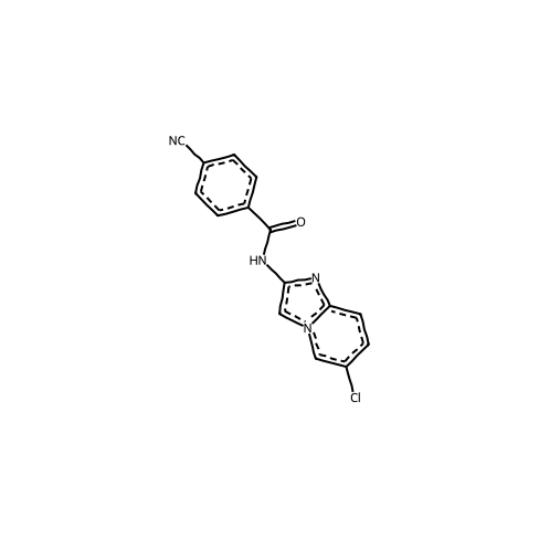 N#Cc1ccc(C(=O)Nc2cn3cc(Cl)ccc3n2)cc1